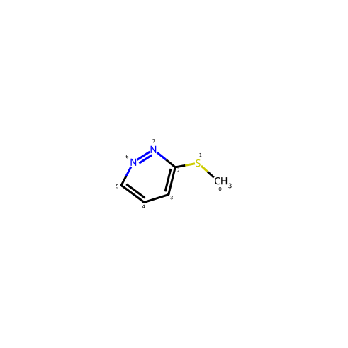 CSc1cccnn1